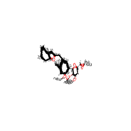 CCCCOC[C@@H]1C[C@H](OCCCC)[C@@H](OCCCC)[C@H](c2cc(Cc3cc4ccccc4o3)c(C)cc2OCCCC)O1